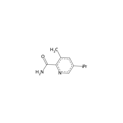 Cc1cc(C(C)C)cnc1C(N)=O